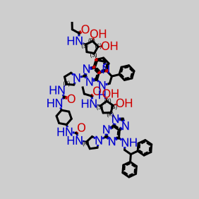 CCC(=O)N[C@H]1C[C@@H](n2cnc3c(NCC(c4ccccc4)c4ccccc4)nc(N4CC[C@@H](NC(=O)NC5CCC(NC(=O)N[C@@H]6CCN(c7nc(NCC(c8ccccc8)c8ccccc8)c8c(n7)C([C@@H]7C[C@H](NC(=O)CC)[C@@H](O)[C@H]7O)C=N8)C6)CC5)C4)nc32)[C@H](O)[C@@H]1O